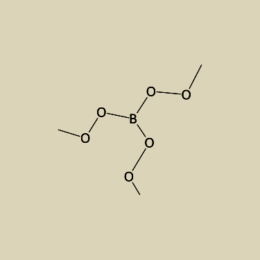 COOB(OOC)OOC